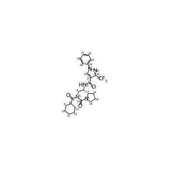 O=C(NCCN(C(=O)C1CCCCC1)C(=O)N1CCCC1)c1cn(-c2ccccc2)nc1C(F)(F)F